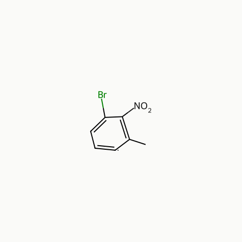 Cc1[c]ccc(Br)c1[N+](=O)[O-]